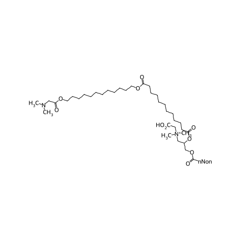 CCCCCCCCCC(=O)OCC(C[N+](C)(C)CC(=O)O)OC(=O)CCCCCCCCCCC(=O)OCCCCCCCCCCCCOC(=O)CN(C)C